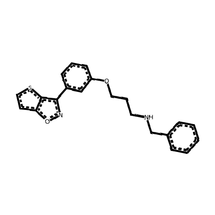 c1ccc(CNCCCOc2cccc(-c3noc4ccsc34)c2)cc1